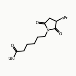 CCCC1CC(=O)N(CCCCCC(=O)C(C)(C)C)C1=O